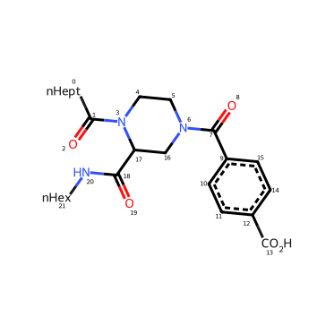 CCCCCCCC(=O)N1CCN(C(=O)c2ccc(C(=O)O)cc2)CC1C(=O)NCCCCCC